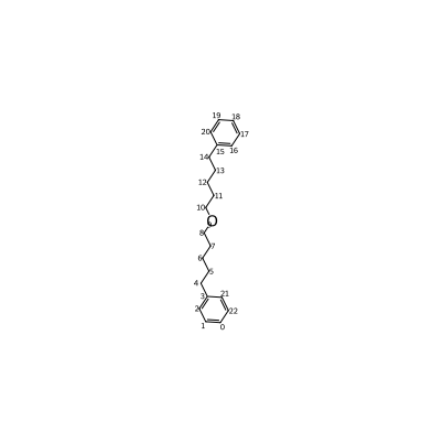 c1ccc(CCCCCOCCCCCc2ccccc2)cc1